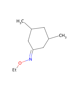 CCON=C1CC(C)CC(C)C1